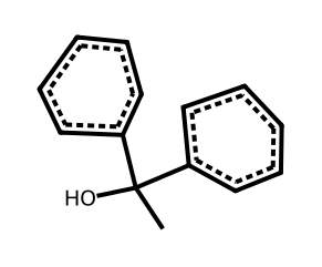 CC(O)(c1ccccc1)c1ccccc1